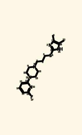 Cc1nc(SCCCN2CCN(c3cccc(F)n3)CC2)[nH]c1C